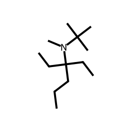 CCCC(CC)(CC)N(C)C(C)(C)C